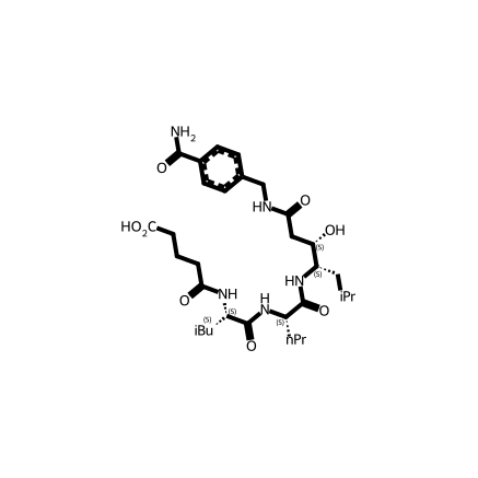 CCC[C@H](NC(=O)[C@@H](NC(=O)CCCC(=O)O)[C@@H](C)CC)C(=O)N[C@@H](CC(C)C)[C@@H](O)CC(=O)NCc1ccc(C(N)=O)cc1